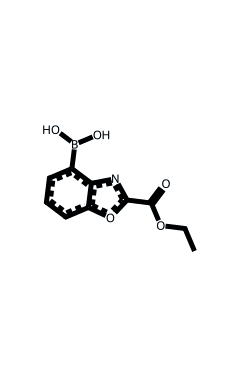 CCOC(=O)c1nc2c(B(O)O)cccc2o1